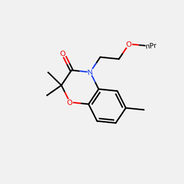 CCCOCCN1C(=O)C(C)(C)Oc2ccc(C)cc21